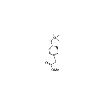 COC(=O)Cc1ccc(O[Si](C)(C)C)cc1